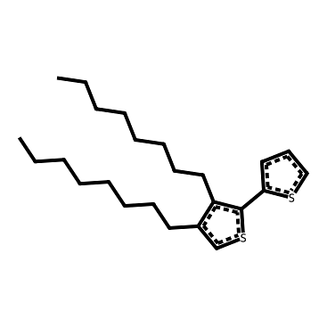 CCCCCCCCc1csc(-c2cccs2)c1CCCCCCCC